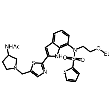 CCOCCN(c1cccc2cc(-c3ncc(CN4CCC(NC(C)=O)C4)s3)[nH]c12)S(=O)(=O)c1cccs1